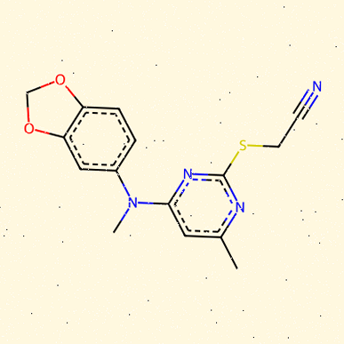 Cc1cc(N(C)c2ccc3c(c2)OCO3)nc(SCC#N)n1